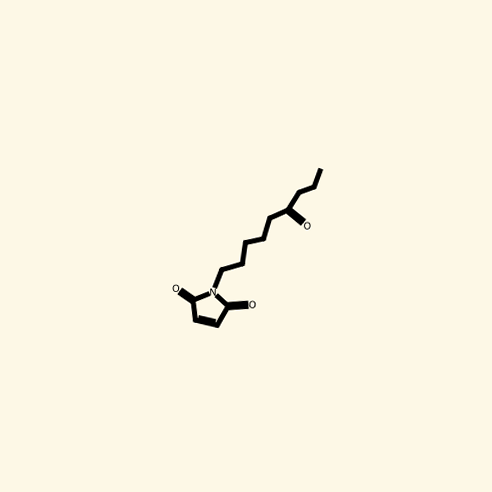 CCCC(=O)CCCCCN1C(=O)C=CC1=O